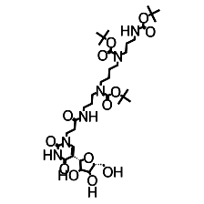 CC(C)(C)OC(=O)NCCCN(CCCCN(CCCNC(=O)CCn1cc([C@@H]2O[C@H](CO)C(O)C2O)c(=O)[nH]c1=O)C(=O)OC(C)(C)C)C(=O)OC(C)(C)C